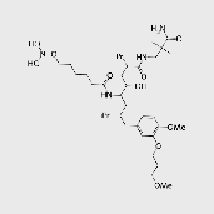 COCCCOc1cc(CC(CC(NC(=O)CCCCCON(O)O)C(O)CC(C(=O)NCC(C)(C)C(N)=O)C(C)C)C(C)C)ccc1OC